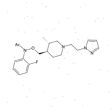 CC(=O)N(OC[C@@H]1CCN(CCn2cccn2)C[C@H]1C)c1ccccc1F